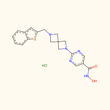 Cl.O=C(NO)c1cnc(N2CC3(CN(Cc4cc5ccccc5s4)C3)C2)nc1